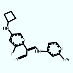 CCCc1cc(N/C=C(\C=N)c2ncc(NC3CCC3)cc2F)ccn1